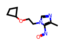 Cc1ncn(CCOC2CCC2)c1N=O